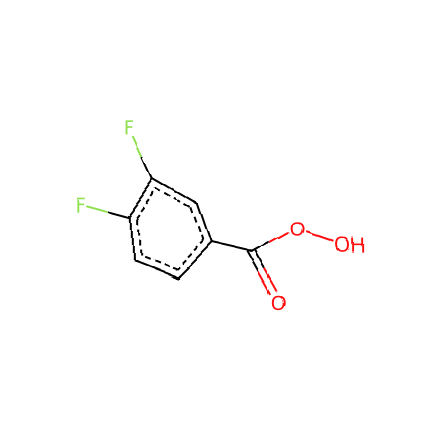 O=C(OO)c1ccc(F)c(F)c1